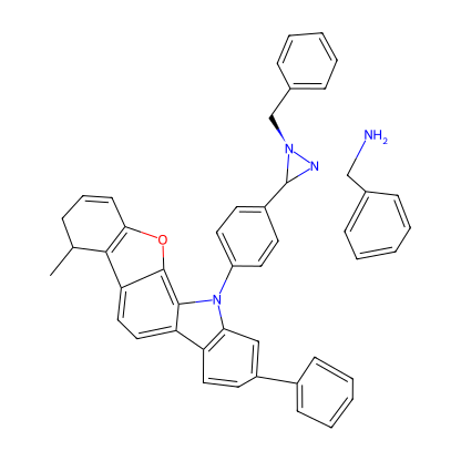 CC1CC=Cc2oc3c(ccc4c5ccc(-c6ccccc6)cc5n(-c5ccc(C6[N@](C(N)c7ccccc7)[N@]6Cc6ccccc6)cc5)c43)c21